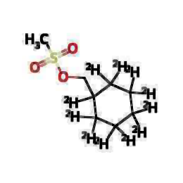 [2H]C1([2H])C([2H])([2H])C([2H])([2H])C([2H])(COS(C)(=O)=O)C([2H])([2H])C1([2H])[2H]